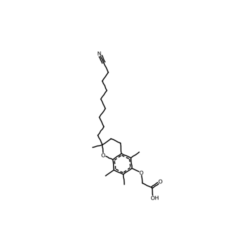 Cc1c(C)c2c(c(C)c1OCC(=O)O)CCC(C)(CCCCCCCCC#N)O2